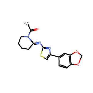 CC(=O)N1CCCC/C1=N\c1nc(-c2ccc3c(c2)OCO3)cs1